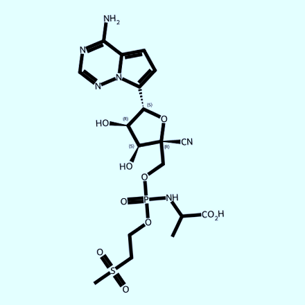 CC(NP(=O)(OCCS(C)(=O)=O)OC[C@@]1(C#N)O[C@@H](c2ccc3c(N)ncnn23)[C@H](O)[C@@H]1O)C(=O)O